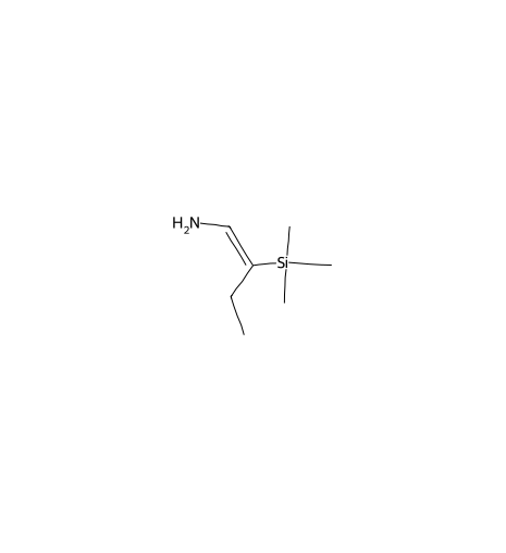 CC/C(=C\N)[Si](C)(C)C